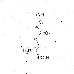 N=NCC(=O)CC[C@H](N)C(=O)O